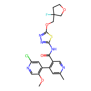 COc1cnc(Cl)cc1-c1cc(C)ncc1C(=O)Nc1nnc(OCC2(F)CCOC2)s1